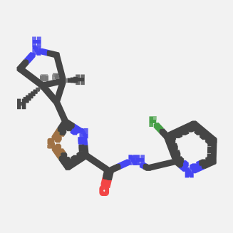 O=C(NCc1ncccc1F)c1csc(C2[C@H]3CNC[C@@H]23)n1